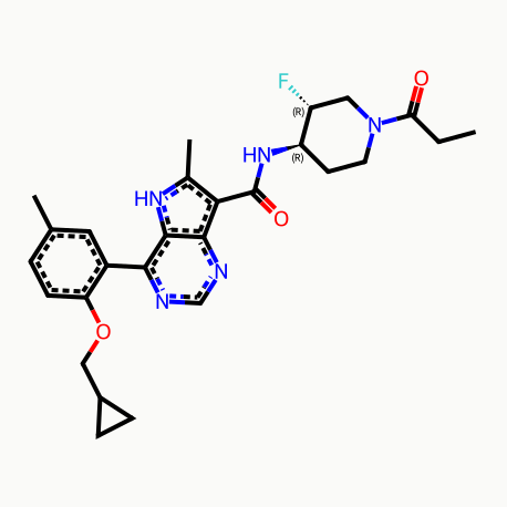 CCC(=O)N1CC[C@@H](NC(=O)c2c(C)[nH]c3c(-c4cc(C)ccc4OCC4CC4)ncnc23)[C@H](F)C1